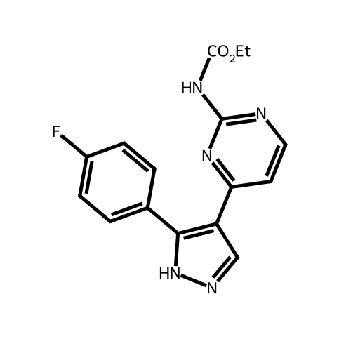 CCOC(=O)Nc1nccc(-c2cn[nH]c2-c2ccc(F)cc2)n1